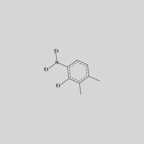 CCc1c(N(CC)CC)ccc(C)c1C